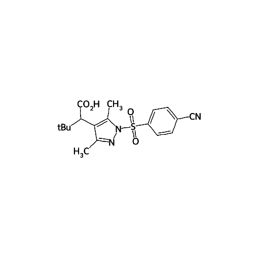 Cc1nn(S(=O)(=O)c2ccc(C#N)cc2)c(C)c1C(C(=O)O)C(C)(C)C